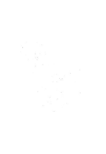 c1ccc(-c2cc(-c3ccccc3)cc(N(c3ccc(-c4ccc5c6ccc7ccccc7c6n(-c6ccccc6)c5c4)cc3)c3ccc4c(c3)-c3ccccc3C4(c3ccccc3)c3ccccc3)c2)cc1